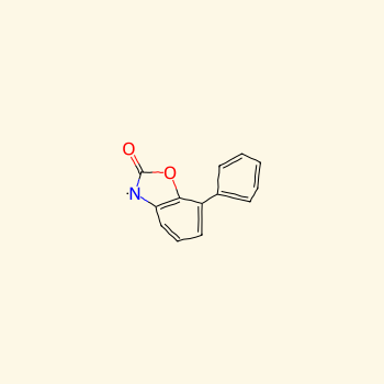 O=C1[N]c2cccc(-c3ccccc3)c2O1